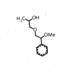 COC(COCC(C)O)c1ccccc1